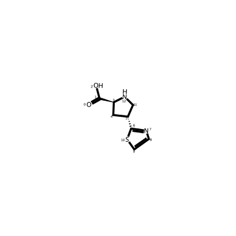 O=C(O)[C@@H]1C[C@@H](c2nccs2)CN1